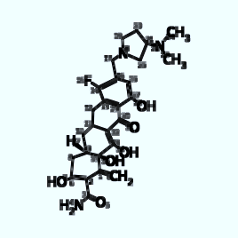 C=C1C(C(N)=O)=C(O)C[C@@H]2CC3Cc4c(F)c(CN5CC[C@@H](N(C)C)C5)cc(O)c4C(=O)C3=C(O)[C@]12O